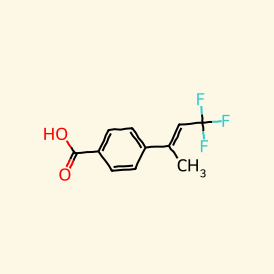 CC(=CC(F)(F)F)c1ccc(C(=O)O)cc1